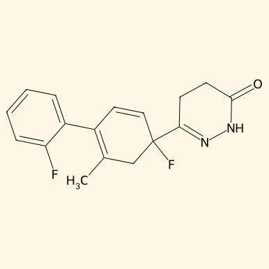 CC1=C(c2ccccc2F)C=CC(F)(C2=NNC(=O)CC2)C1